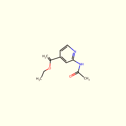 C=C(OCC)c1ccnc(NC(C)=O)c1